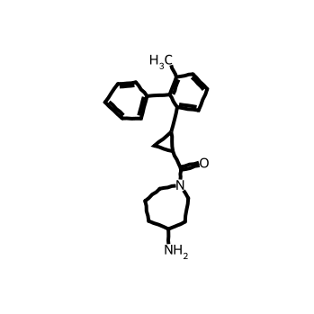 Cc1cccc(C2CC2C(=O)N2CCCC(N)CC2)c1-c1ccccc1